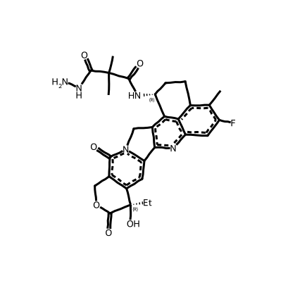 CC[C@]1(O)C(=O)OCc2c1cc1n(c2=O)Cc2c-1nc1cc(F)c(C)c3c1c2[C@H](NC(=O)C(C)(C)C(=O)NN)CC3